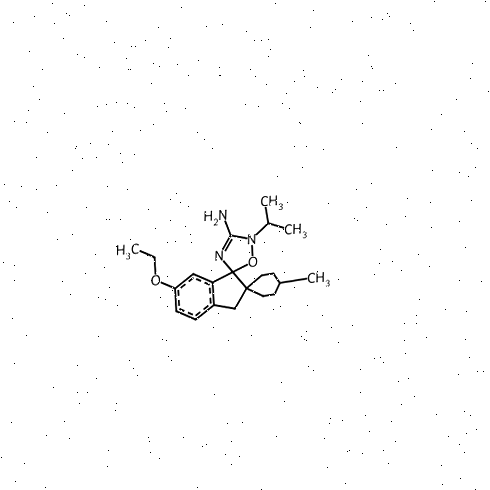 CCOc1ccc2c(c1)C1(N=C(N)N(C(C)C)O1)C1(CCC(C)CC1)C2